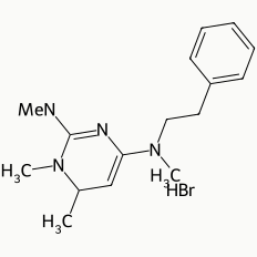 Br.CNC1=NC(N(C)CCc2ccccc2)=CC(C)N1C